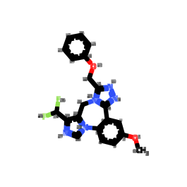 COc1ccc2c(c1)-c1nnc(COc3ccccc3)n1Cc1c(C(F)F)ncn1-2